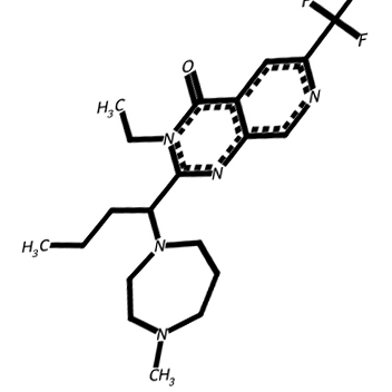 CCCC(c1nc2cnc(C(F)(F)F)cc2c(=O)n1CC)N1CCCN(C)CC1